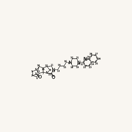 O=C1C2CC3C(C2)C2C4CC(CN(CCCCN5CCN(c6ccc7ccccc7n6)CC5)C4=O)C2C13